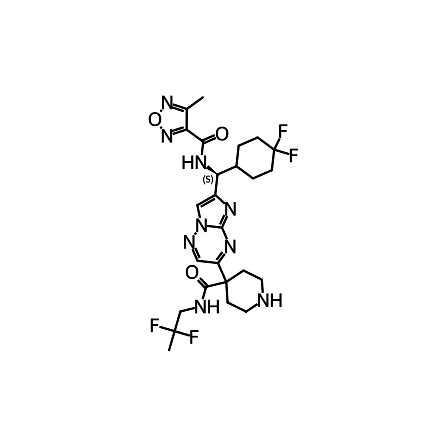 Cc1nonc1C(=O)N[C@H](c1cn2ncc(C3(C(=O)NCC(C)(F)F)CCNCC3)nc2n1)C1CCC(F)(F)CC1